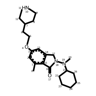 Cc1cc(OCCC2CCNCC2)cc2c1C(=O)N(N(C)C1CCCCC1)C2